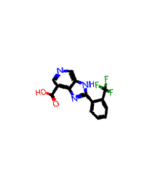 O=C(O)c1cncc2[nH]c(-c3ccccc3C(F)(F)F)nc12